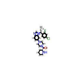 C[C@H](c1ccc(Cl)cc1F)n1cnc2ccc(N3CCN(C(=O)[C@H]4CCCCN4)CC3)cc21